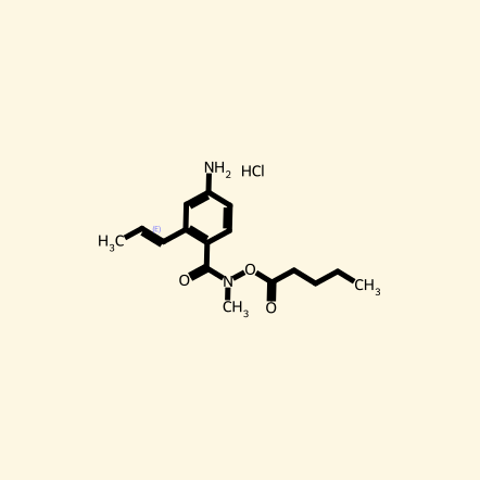 C/C=C/c1cc(N)ccc1C(=O)N(C)OC(=O)CCCC.Cl